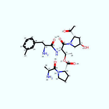 CC(=O)[C@@H]1C[C@@H](O)CN1C(=O)[C@@H](NC(=O)[C@@H](N)Cc1cccc(C)c1)[C@H](C)OC(=O)[C@@H]1CCCN1C(=O)[C@H](C)N